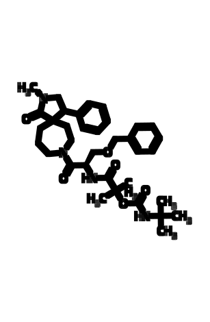 CN1CC(c2ccccc2)C2(CCCN(C(=O)[C@@H](COCc3ccccc3)NC(=O)C(C)(C)OC(=O)NC(C)(C)C)CC2)C1=O